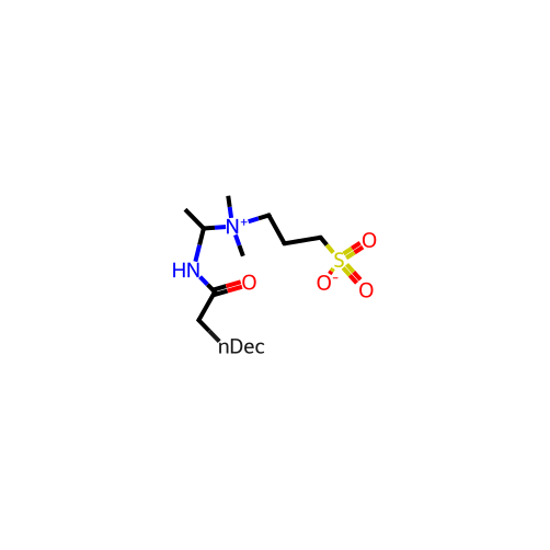 CCCCCCCCCCCC(=O)NC(C)[N+](C)(C)CCCS(=O)(=O)[O-]